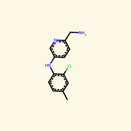 Cc1ccc(Nc2ccc(CN)nc2)c(Cl)c1